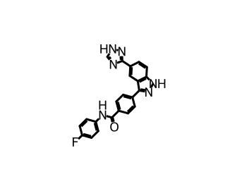 O=C(Nc1ccc(F)cc1)c1ccc(-c2n[nH]c3ccc(-c4nc[nH]n4)cc23)cc1